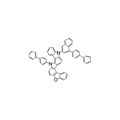 c1ccc(-c2ccc(-c3cc(-n4c5ccccc5c5c4ccc4c6c7c(ccc6n(-c6ccc(-c8ccccc8)cc6)c45)oc4ccccc47)cc4ccccc34)cc2)cc1